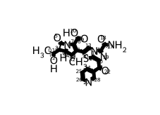 C[C@@H](O)[C@H]1C(=O)N2C(C(=O)O)=C(c3cn4c(C(N)=O)nc(C(=O)c5cccnc5)c4s3)[C@H](C)[C@H]12